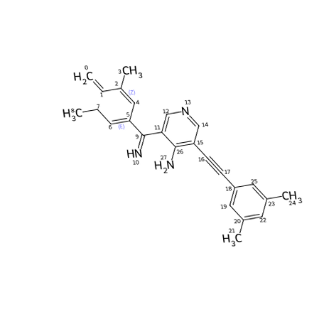 C=C/C(C)=C\C(=C/CC)C(=N)c1cncc(C#Cc2cc(C)cc(C)c2)c1N